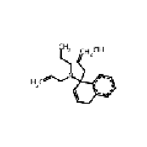 C=CCN(CCC)C1(CC=C)C=CCc2ccccc21.Cl